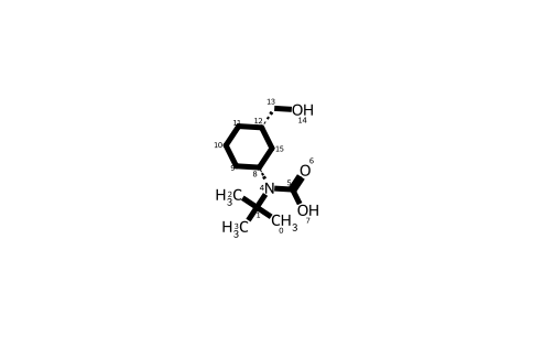 CC(C)(C)N(C(=O)O)[C@@H]1CCC[C@H](CO)C1